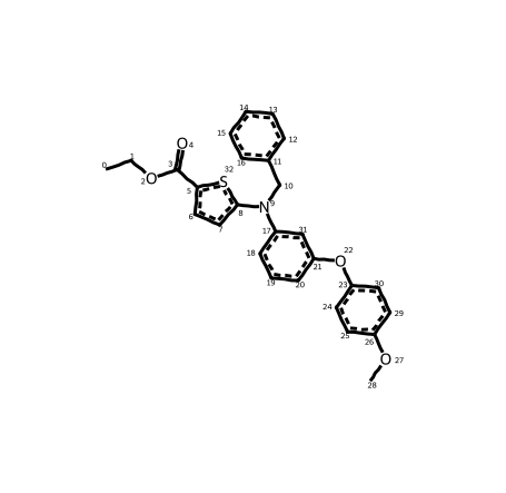 CCOC(=O)c1ccc(N(Cc2ccccc2)c2cccc(Oc3ccc(OC)cc3)c2)s1